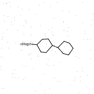 CCCCCCCC1CCC([C]2CCCCC2)CC1